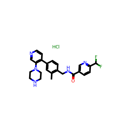 Cc1cc(-c2ccncc2N2CCNCC2)ccc1CNC(=O)c1ccc(C(F)F)nc1.Cl